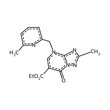 CCOC(=O)c1cn(Cc2cccc(C)n2)c2nc(C)nn2c1=O